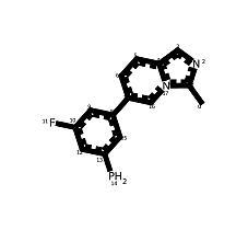 Cc1ncc2ccc(-c3cc(F)cc(P)c3)cn12